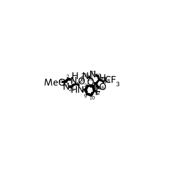 COc1cnc(C(=O)Nc2ccc(F)c([C@]34CO[C@H](C(F)(F)F)[C@H]3CN=C(N)O4)c2)cn1